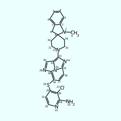 CN1c2ccccc2CC12CCN(c1nc3ccc(Sc4ccnc(N)c4Cl)c4ncc1n34)CC2